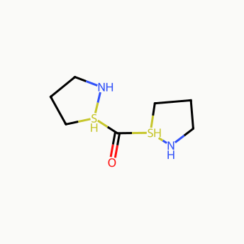 O=C([SH]1CCCN1)[SH]1CCCN1